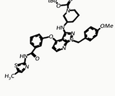 COc1ccc(Cn2nc(NC3CCCN(C(=O)OC(C)(C)C)C3)c3c(Oc4cccc(C(=O)Nc5ncc(C)s5)c4)ccnc32)cc1